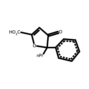 CCCC1(c2ccccc2)OC(C(=O)O)=CC1=O